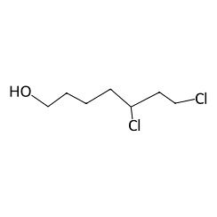 OCCCCC(Cl)CCCl